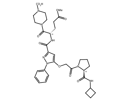 COC(=O)CC[C@H](NC(=O)c1cc(OCC(=O)N2CCC[C@H]2C(=O)NC2CCC2)n(-c2ccccc2)n1)C(=O)N1CCN(C(=O)O)CC1